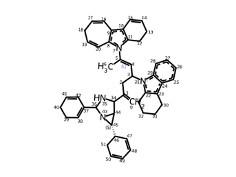 C=C(CC(/C=C(\C)n1c2c(c3c1CCC=C3)C=CCC=C2)n1c2c(c3ccccc31)CCCC2)C1NC(C2=CCCC=C2)N2C1[C@@H]2C1C=CC=CC1